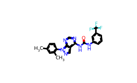 Cc1ccc(-n2ncc3c(NC(=O)Nc4cccc(C(F)(F)F)c4)ncnc32)c(C)c1